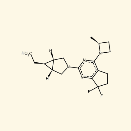 C[C@H]1CCN1c1nc(N2C[C@@H]3[C@@H](CC(=O)O)[C@@H]3C2)nc2c1CCC2(F)F